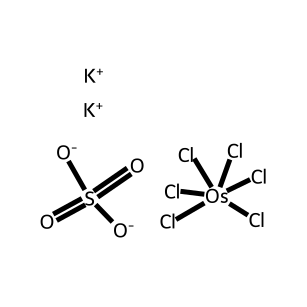 O=S(=O)([O-])[O-].[Cl][Os]([Cl])([Cl])([Cl])([Cl])[Cl].[K+].[K+]